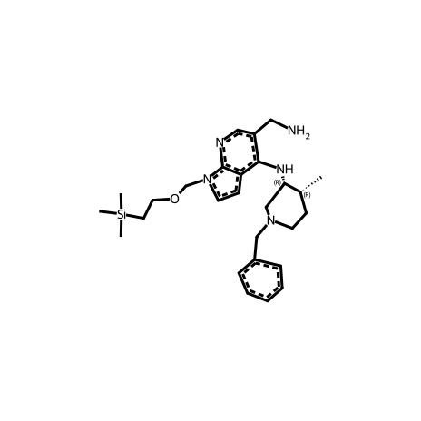 C[C@@H]1CCN(Cc2ccccc2)C[C@@H]1Nc1c(CN)cnc2c1ccn2COCC[Si](C)(C)C